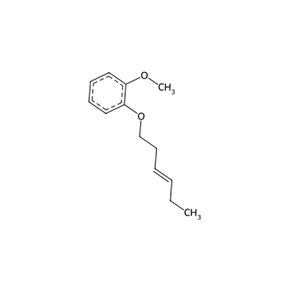 CCC=CCCOc1ccccc1OC